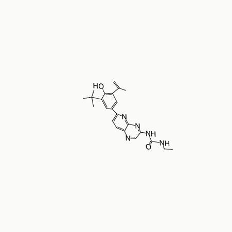 C=C(C)c1cc(-c2ccc3ncc(NC(=O)NCC)nc3n2)cc(C(C)(C)C)c1O